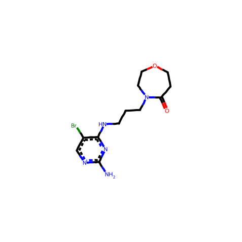 Nc1ncc(Br)c(NCCCN2CCOCCC2=O)n1